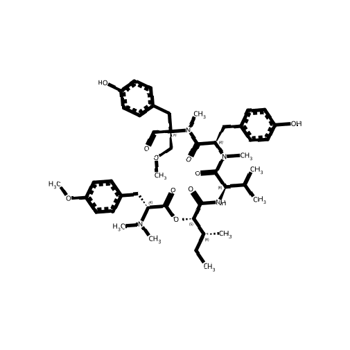 CC[C@@H](C)[C@H](OC(=O)[C@@H](Cc1ccc(OC)cc1)N(C)C)C(=O)N[C@@H](C(=O)N(C)[C@H](Cc1ccc(O)cc1)C(=O)N(C)[C@@](C=O)(COC)Cc1ccc(O)cc1)C(C)C